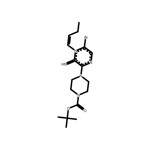 CC/C=C\n1c(Br)cnc(N2CCN(C(=O)OC(C)(C)C)CC2)c1=N